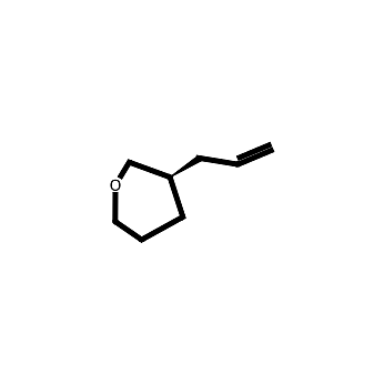 C=CC[C@H]1CCCOC1